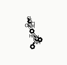 [O-][S+](NC[C@H]1CC[C@H](CNc2nc(NCC3CCCCC3)c3ccccc3n2)CC1)c1cc(Cl)sc1Cl